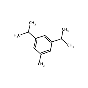 C[C](C)c1cc(C)cc(C(C)C)c1